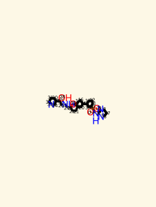 O=S(=O)(Nc1ncccn1)c1cccc(-c2ccc3c(c2)CC[C@H](CNC[C@@H](O)c2cccnc2)O3)c1